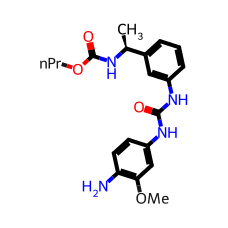 CCCOC(=O)N[C@@H](C)c1cccc(NC(=O)Nc2ccc(N)c(OC)c2)c1